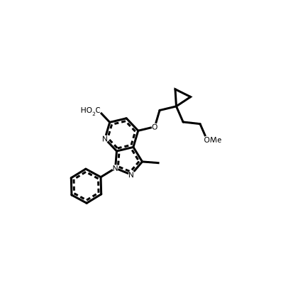 COCCC1(COc2cc(C(=O)O)nc3c2c(C)nn3-c2ccccc2)CC1